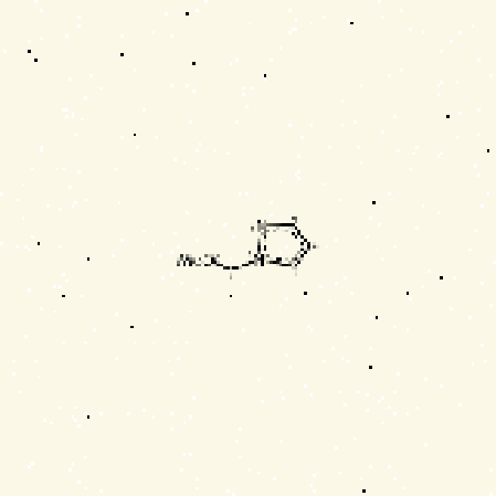 COCn1cc[c]n1